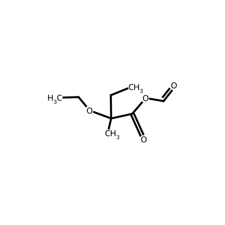 CCOC(C)(CC)C(=O)OC=O